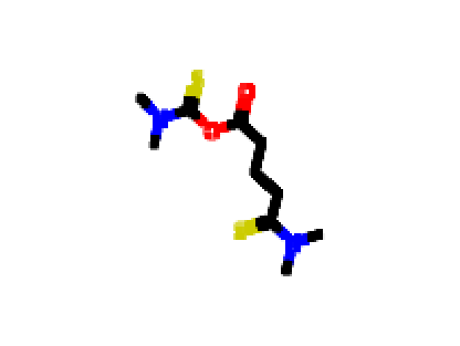 CN(C)C(=S)CCCC(=O)OC(=S)N(C)C